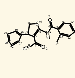 CCCC(=O)C1=C(NC(=O)c2ccccc2C)SCC1c1ccccc1